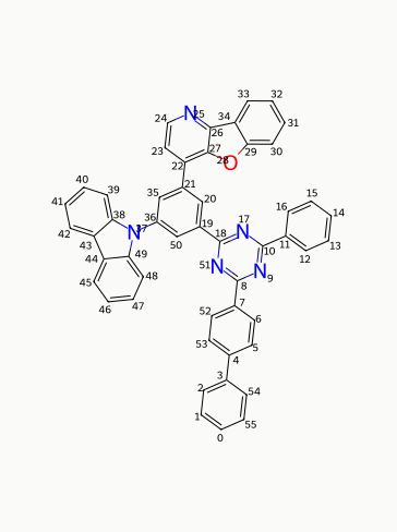 c1ccc(-c2ccc(-c3nc(-c4ccccc4)nc(-c4cc(-c5ccnc6c5oc5ccccc56)cc(-n5c6ccccc6c6ccccc65)c4)n3)cc2)cc1